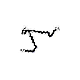 CCCCC/C=C\C/C=C\CCCCCCCCOCC(CC1CNCCN1C)OCCCCCCCC/C=C\C/C=C\CCCCC